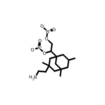 CC1CC2(C)CC(C)(CCN)CC(C(CO[N+](=O)[O-])O[N+](=O)[O-])(C1)C2